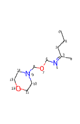 CCC/C(C)=N\COCN1CCOCC1